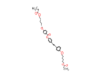 C=CC(=O)OCCCCCCOc1ccc(C#Cc2ccc(OC(=O)c3ccc(OCCCCCCOC(=O)C=C)cc3)cc2)cc1